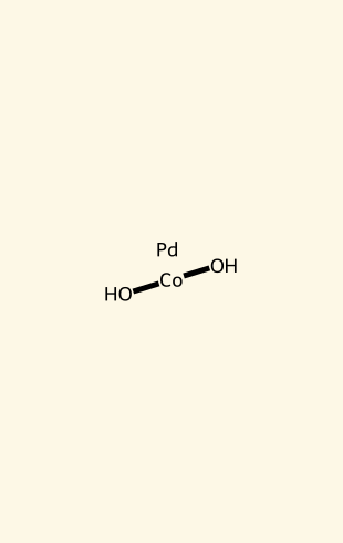 [OH][Co][OH].[Pd]